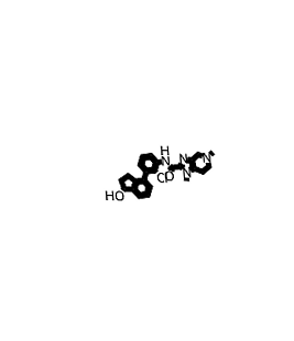 CN1CCc2c(nc(C(=O)Nc3cccc(-c4cccc5c4CCC5O)c3Cl)n2C)C1